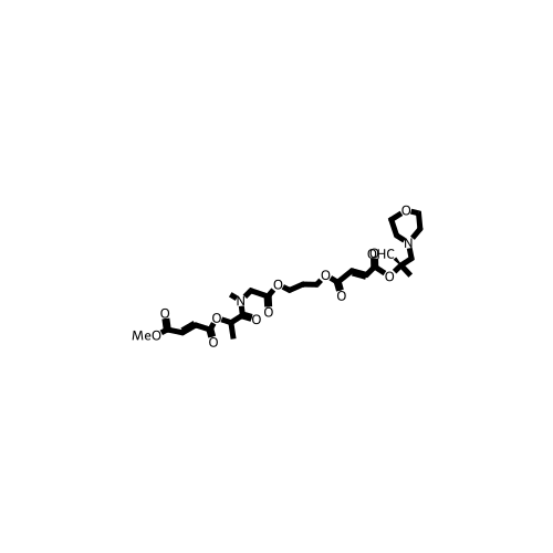 COC(=O)/C=C/C(=O)OC(C)C(=O)N(C)CC(=O)OCCCOC(=O)/C=C/C(=O)O[C@](C)(C=O)CN1CCOCC1